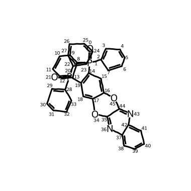 O=P(c1ccccc1)(c1ccccc1)c1cc2c(cc1P(=O)(c1ccccc1)c1ccccc1)Oc1nc3ccccc3nc1O2